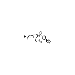 C/C=C1/CC2CC(C)(C1)CN2C(=O)c1ccc(-n2cccc2)cc1